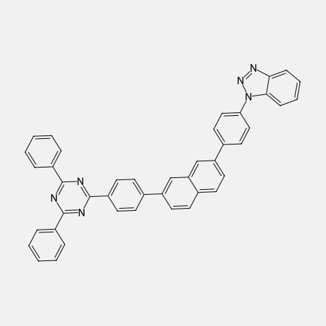 c1ccc(-c2nc(-c3ccccc3)nc(-c3ccc(-c4ccc5ccc(-c6ccc(-n7nnc8ccccc87)cc6)cc5c4)cc3)n2)cc1